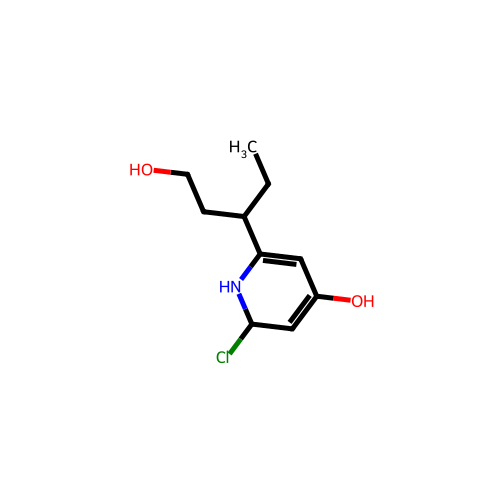 CCC(CCO)C1=CC(O)=CC(Cl)N1